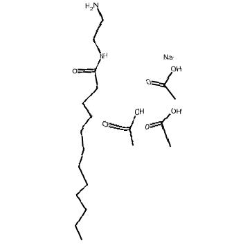 CC(=O)O.CC(=O)O.CC(=O)O.CCCCCCCCCCCC(=O)NCCN.[Na]